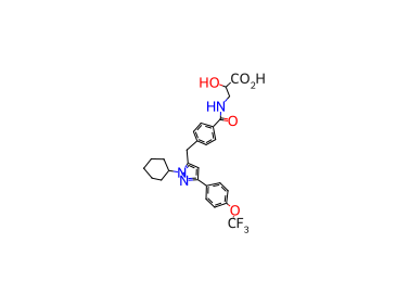 O=C(NCC(O)C(=O)O)c1ccc(Cc2cc(-c3ccc(OC(F)(F)F)cc3)nn2C2CCCCC2)cc1